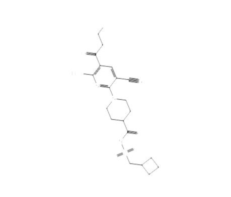 CCCC(=O)c1cc(C#N)c(N2CCC(C(=O)NS(=O)(=O)CC3CCC3)CC2)nc1C